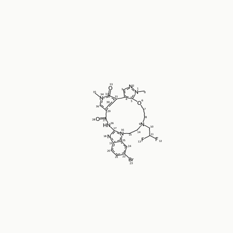 Cn1ncc2c1OCCN(CC(F)F)CCn1c(nc3ccc(Br)cc31)NC(=O)c1cc-2c(=O)n(C)c1